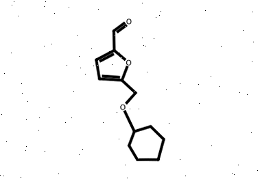 O=Cc1ccc(COC2CCCCC2)o1